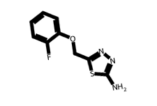 Nc1nnc(COc2ccccc2F)s1